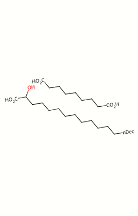 CCCCCCCCCCCCCCCCCCCCCC(O)C(=O)O.O=C(O)CCCCCCCC(=O)O